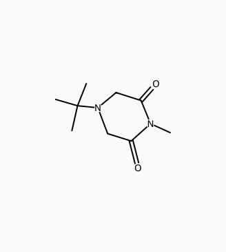 CN1C(=O)CN(C(C)(C)C)CC1=O